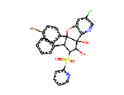 O=S(=O)(c1ccccn1)C1C(O)C2(O)c3ncc(Cl)cc3OC2(c2ccc(Br)cc2)C1c1ccccc1